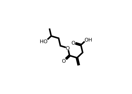 C=C(CC(=O)O)C(=O)OCCC(C)O